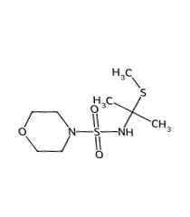 CSC(C)(C)NS(=O)(=O)N1CCOCC1